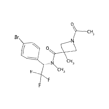 CC(=O)N1CC(C)(C(=O)N(C)[C@@H](c2ccc(Br)cc2)C(F)(F)F)C1